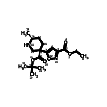 CCOC(=O)c1cc([C@@]2(C(=O)OC(C)(C)C)CC[C@@H](C)NC2)on1